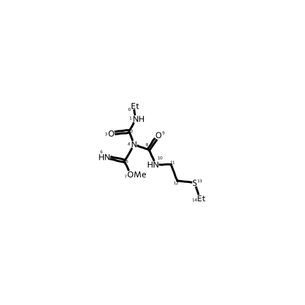 CCNC(=O)N(C(=N)OC)C(=O)NCCSCC